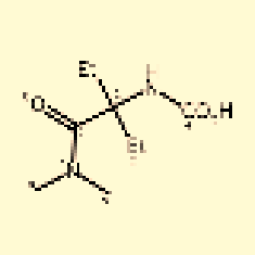 CCC(CC)(NC(=O)O)C(=O)N(C)C